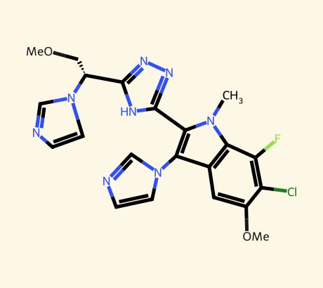 COC[C@H](c1nnc(-c2c(-n3ccnc3)c3cc(OC)c(Cl)c(F)c3n2C)[nH]1)n1ccnc1